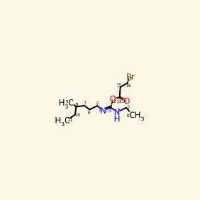 CCN/C(=N/CCCC(C)CC)OC(=O)CCBr